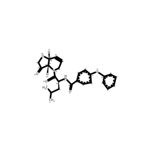 CC(C)C[C@H](NC(=O)c1ccc(Oc2ccccc2)cc1)C(=O)N1CC#C[C@H]2OCC(=O)[C@H]21